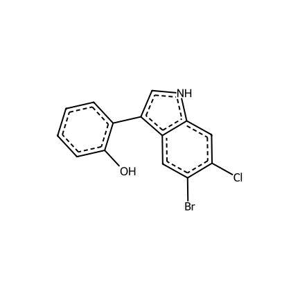 Oc1ccccc1-c1c[nH]c2cc(Cl)c(Br)cc12